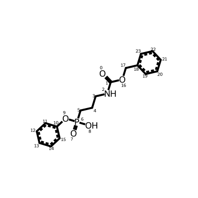 O=C(NCCCP(=O)(O)Oc1ccccc1)OCc1ccccc1